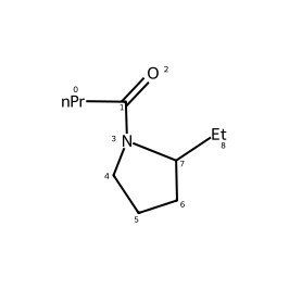 CCCC(=O)N1CCCC1CC